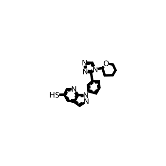 Sc1cnc2c(cnn2-c2cccc(-c3nncn3C3CCCCO3)c2)c1